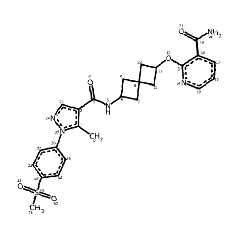 Cc1c(C(=O)NC2CC3(C2)CC(Oc2ncccc2C(N)=O)C3)cnn1-c1ccc(S(C)(=O)=O)cc1